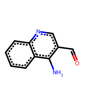 Nc1c(C=O)cnc2ccccc12